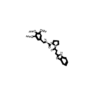 COc1cc(CNC(=O)[C@@H]2CCCN2C(=O)CCC2=[N+]c3ccccc3N2)cc(OC)c1OC